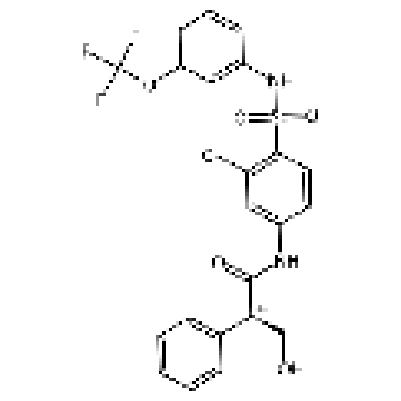 O=C(Nc1ccc(S(=O)(=O)Nc2cccc(OC(F)(F)F)c2)c(Cl)c1)[C@@H](CO)c1ccccc1